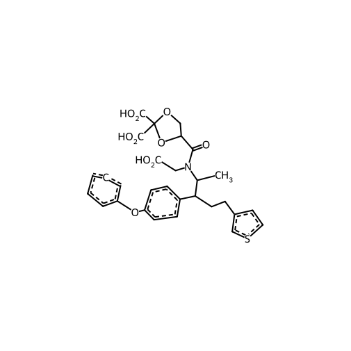 CC(C(CCc1ccsc1)c1ccc(Oc2ccccc2)cc1)N(CC(=O)O)C(=O)C1COC(C(=O)O)(C(=O)O)O1